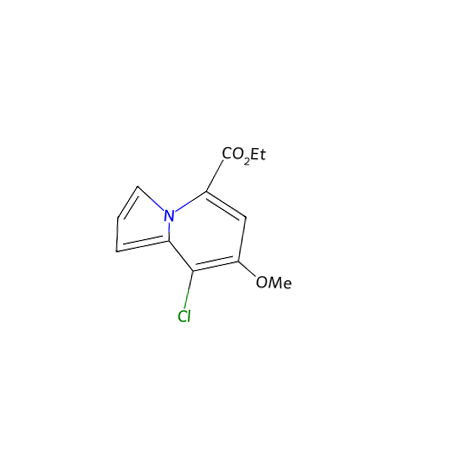 CCOC(=O)c1cc(OC)c(Cl)c2cccn12